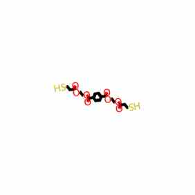 O=C(CCS)OCCOC(=O)c1ccc(C(=O)OCCOC(=O)CCS)cc1